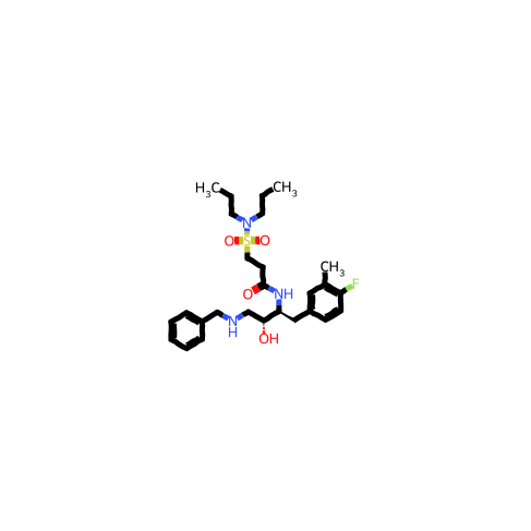 CCCN(CCC)S(=O)(=O)CCC(=O)N[C@@H](Cc1ccc(F)c(C)c1)[C@H](O)CNCc1ccccc1